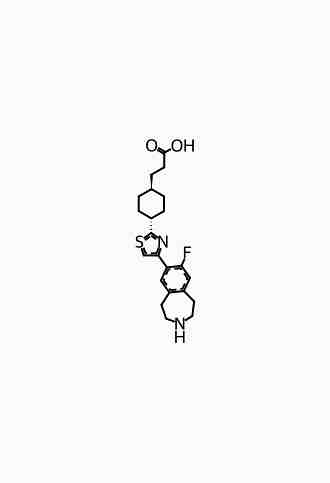 O=C(O)CC[C@H]1CC[C@H](c2nc(-c3cc4c(cc3F)CCNCC4)cs2)CC1